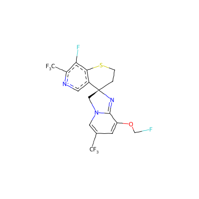 FCOC1=CC(C(F)(F)F)=CN2C[C@@]3(CCSc4c3cnc(C(F)(F)F)c4F)N=C12